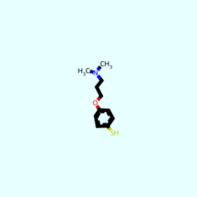 CN(C)CCCOc1ccc(S)cc1